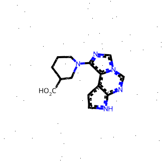 O=C(O)C1CCCN(c2ncn3cnc4[nH]ccc4c23)C1